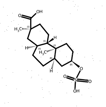 C[C@]1(C(=O)O)CC[C@H]2[C@@H](CC[C@@H]3C[C@H](OS(=O)(=O)O)CC[C@@]32C)C1